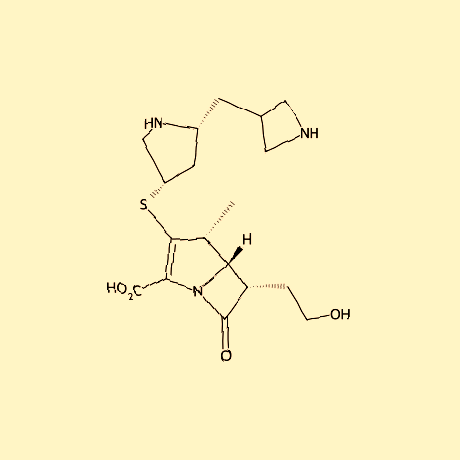 C[C@H]1C(S[C@@H]2CN[C@H](CC3CNC3)C2)=C(C(=O)O)N2C(=O)[C@@H](CCO)[C@@H]12